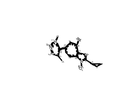 CCn1c(C2CC2)nc2c(Br)cc(-c3c(C)nnn3C)cc21